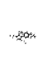 Cc1cc(C)n(-c2ccc(OC(F)(F)F)cc2)c1C